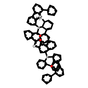 CC1C=CC=C(c2ccccc2)C1N(c1cc2c(oc3cc(N(c4ccccc4-c4ccccc4)c4cccc5c4oc4c(-c6ccccc6)cccc45)c4ccccc4c32)c2ccccc12)c1cccc2c1oc1c(-c3ccccc3)cccc12